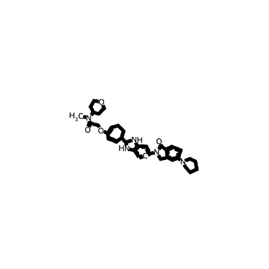 CN(C(=O)COC1=CCCC(C2Nc3ccc(N4Cc5cc(N6CCCCC6)ccc5C4=O)cc3N2)C=C1)C1CCOCC1